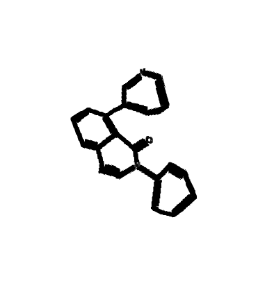 O=c1c2c(-c3cccnc3)cccc2ccn1-c1ccccc1